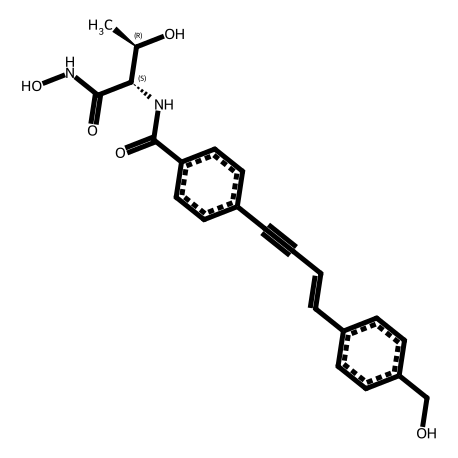 C[C@@H](O)[C@H](NC(=O)c1ccc(C#CC=Cc2ccc(CO)cc2)cc1)C(=O)NO